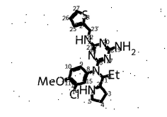 CCC(C1CCCN1)N(c1ccc(OC)c(Cl)c1)c1nc(N)nc(NCc2cccs2)n1